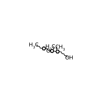 CCCCc1ccc(COc2ccc(-c3ccc(CCCCCO)cc3CC)c(CC)c2)cc1